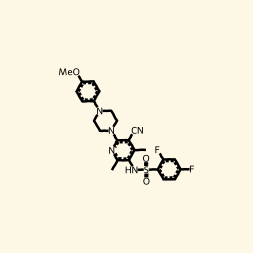 COc1ccc(N2CCN(c3nc(C)c(NS(=O)(=O)c4ccc(F)cc4F)c(C)c3C#N)CC2)cc1